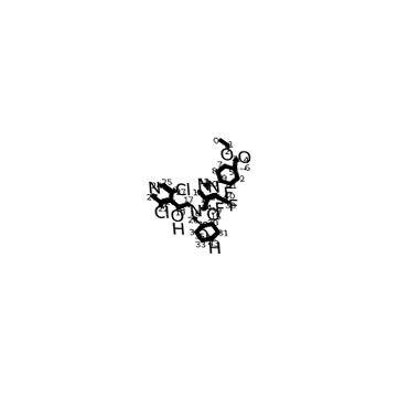 CCOC(=O)[C@]1(C)CC[C@@H](n2ncc(C(=O)N(CC(O)c3c(Cl)cncc3Cl)C[C@]34CC[C@H](CC3)O4)c2C(F)(F)F)CC1